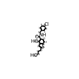 O=C(NCc1ccc(Cl)cc1)c1ccc2sc(CCCO)cc2c1O